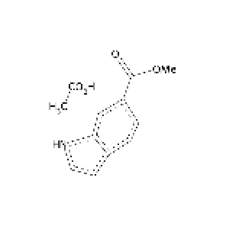 CC(=O)O.COC(=O)c1ccc2cc[nH]c2c1